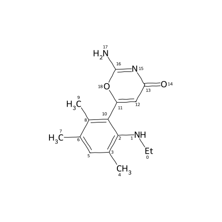 CCNc1c(C)cc(C)c(C)c1-c1cc(=O)nc(N)o1